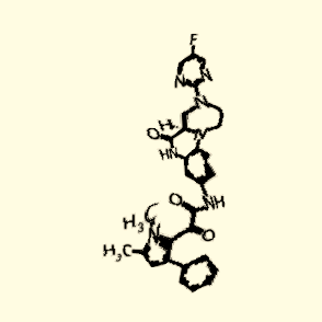 Cc1cc(-c2ccccc2)c(C(=O)C(=O)Nc2ccc3c(c2)NC(=O)[C@H]2CN(c4ncc(F)cn4)CCN32)n1C